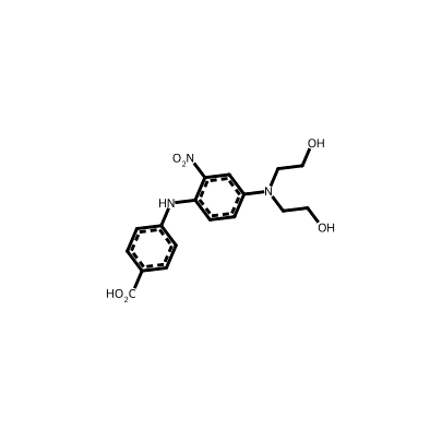 O=C(O)c1ccc(Nc2ccc(N(CCO)CCO)cc2[N+](=O)[O-])cc1